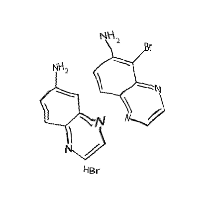 Br.Nc1ccc2nccnc2c1.Nc1ccc2nccnc2c1Br